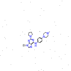 CCn1cnc2c(Nc3ccc(N4CCN(C)CC4)cc3)nc(N3CCCC3)nc21